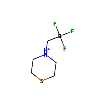 F[B-](F)(F)C[NH+]1CCSCC1